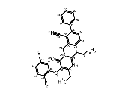 CCCc1nc(CC)c(Oc2cc(F)ccc2F)c(=O)n1Cc1cccc(-c2ccccc2)c1C#N